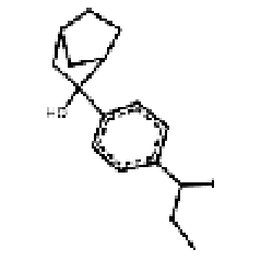 CCC(I)c1ccc(C2(O)CC3CCC2C3)cc1